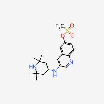 CC1(C)CC(Nc2cnc3ccc(OS(=O)(=O)C(F)(F)F)cc3c2)CC(C)(C)N1